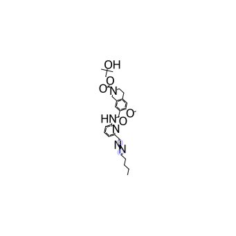 CCCC/C=N/N=C/c1cccc(NC(=O)c2cc3c(cc2OC)CCN(C(=O)OCC(C)(C)O)C3)n1